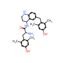 Cc1cc(O)cc(C)c1Cc1ccc2c(c1)C(NC(=O)C(N)Cc1c(C)cc(O)cc1C)CCN2